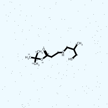 CC(CS)CNCCC(=O)OC(C)(C)C